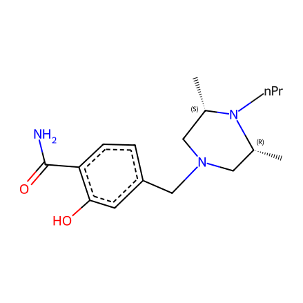 CCCN1[C@H](C)CN(Cc2ccc(C(N)=O)c(O)c2)C[C@@H]1C